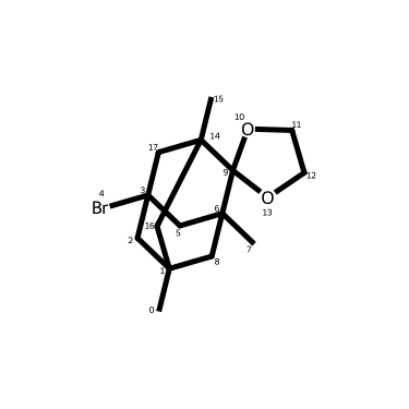 CC12CC3(Br)CC(C)(C1)C1(OCCO1)C(C)(C2)C3